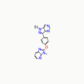 CCn1nc(-c2ccc(Oc3nc4cccnc4n3C)cc2)c2ncncc21